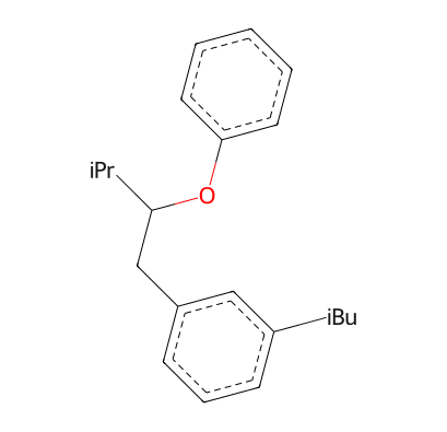 CCC(C)c1cccc(CC(Oc2ccccc2)C(C)C)c1